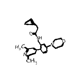 Cc1cc(-c2ccc(N3CCOCC3)cc2CNC(=O)CC2CC2)cc(C)n1